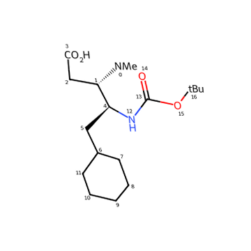 CN[C@@H](CC(=O)O)[C@H](CC1CCCCC1)NC(=O)OC(C)(C)C